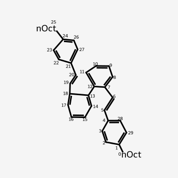 CCCCCCCCc1ccc(/C=C/c2ccccc2-c2ccccc2/C=C/c2ccc(CCCCCCCC)cc2)cc1